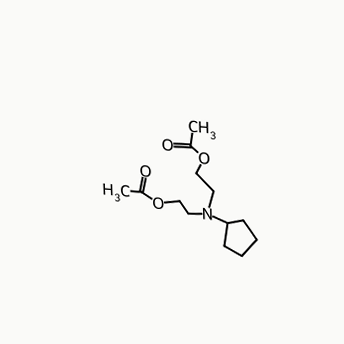 CC(=O)OCCN(CCOC(C)=O)C1CCCC1